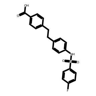 O=C(O)c1ccc(CCc2ccc(NS(=O)(=O)c3ccc(F)cc3)cc2)cc1